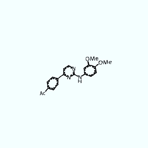 COc1ccc(Nc2nccc(-c3ccc(C(C)=O)cc3)n2)cc1OC